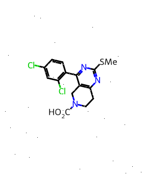 CSc1nc2c(c(-c3ccc(Cl)cc3Cl)n1)CN(C(=O)O)CC2